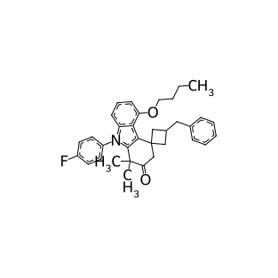 CCCCOc1cccc2c1c1c(n2-c2ccc(F)cc2)C(C)(C)C(=O)CC12CC(Cc1ccccc1)C2